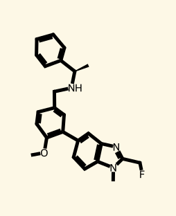 COc1ccc(CN[C@H](C)c2ccccc2)cc1-c1ccc2c(c1)nc(CF)n2C